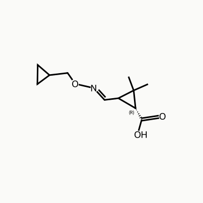 CC1(C)C(C=NOCC2CC2)[C@H]1C(=O)O